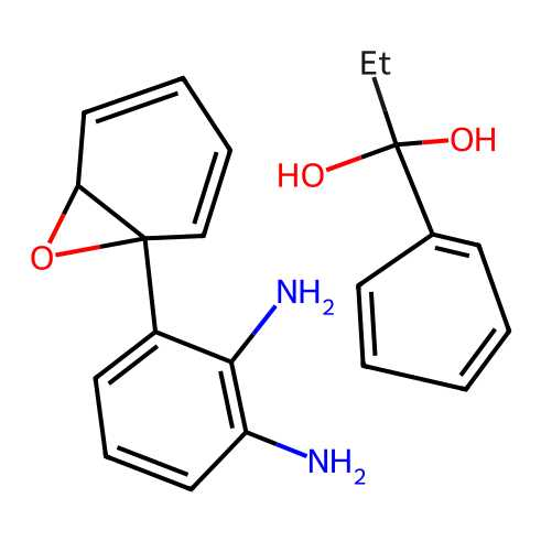 CCC(O)(O)c1ccccc1.Nc1cccc(C23C=CC=CC2O3)c1N